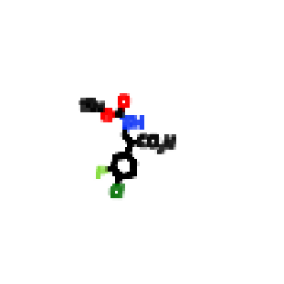 CC(C)(C)OC(=O)NCC(C(=O)O)c1ccc(Cl)c(F)c1